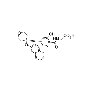 O=C(O)CNC(=O)c1ncc(C#CC2(Oc3ccc4ccccc4c3)CCOCC2)cc1O